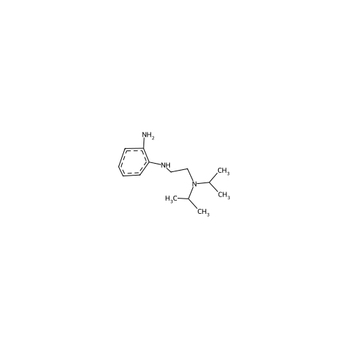 CC(C)N(CCNc1ccccc1N)C(C)C